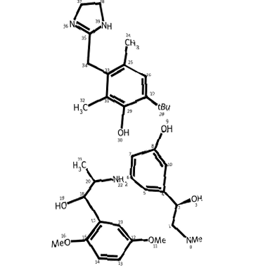 CNC[C@H](O)c1cccc(O)c1.COc1ccc(OC)c(C(O)C(C)N)c1.Cc1cc(C(C)(C)C)c(O)c(C)c1CC1=NCCN1